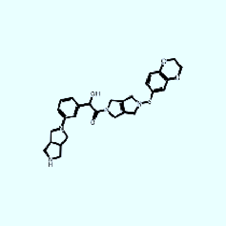 O=C(C(O)c1cccc(N2CC3CNCC3C2)c1)N1CC2=C(CN(Sc3ccc4c(c3)OCCO4)C2)C1